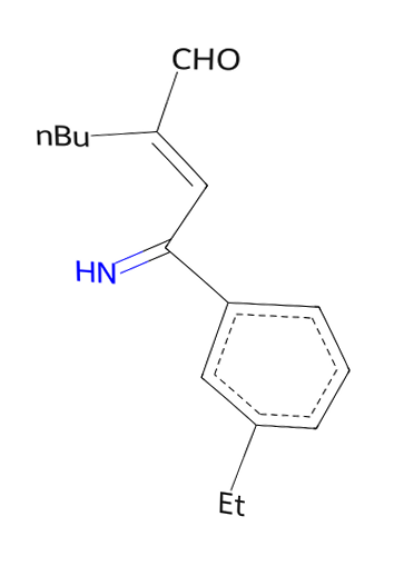 CCCC/C(C=O)=C\C(=N)c1cccc(CC)c1